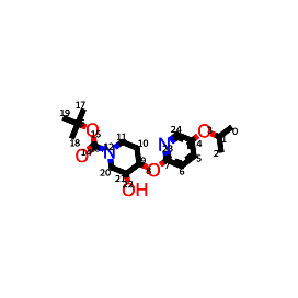 CC(C)Oc1ccc(OC2CCN(C(=O)OC(C)(C)C)CC2O)nc1